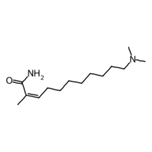 CC(=CCCCCCCCCN(C)C)C(N)=O